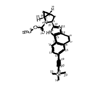 CC(C)(C)OC(=O)N1[C@@H]2C[C@@H]2C[C@H]1c1nc2c([nH]1)-c1ccc(C#C[Si](C)(C)C)cc1CC2